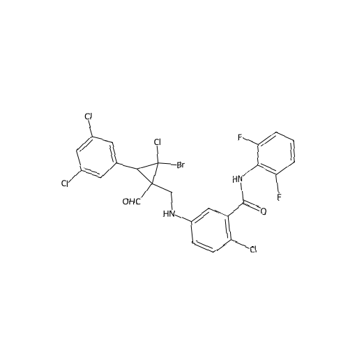 O=CC1(CNc2ccc(Cl)c(C(=O)Nc3c(F)cccc3F)c2)C(c2cc(Cl)cc(Cl)c2)C1(Cl)Br